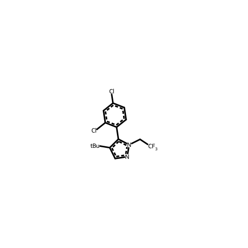 CC(C)(C)c1cnn(CC(F)(F)F)c1-c1ccc(Cl)cc1Cl